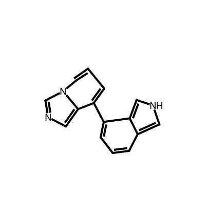 c1cc(-c2cccn3cncc23)c2c[nH]cc2c1